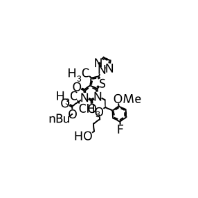 CCCCOC(=O)C(C)(C)n1c(=O)c2c(C)c(-n3nccn3)sc2n(C[C@H](OCCCO)c2cc(F)ccc2OC)c1=O